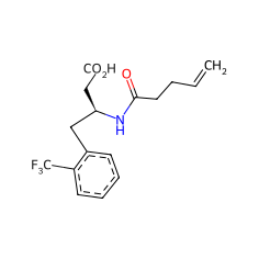 C=CCCC(=O)N[C@H](CC(=O)O)Cc1ccccc1C(F)(F)F